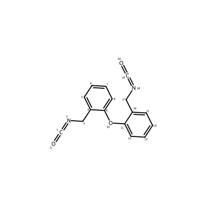 O=C=NCc1ccccc1Oc1ccccc1CN=C=O